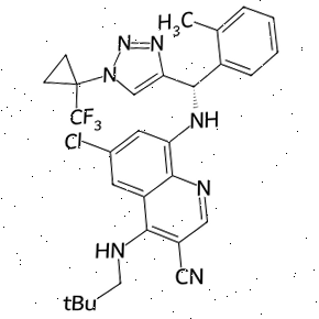 Cc1ccccc1[C@H](Nc1cc(Cl)cc2c(NCC(C)(C)C)c(C#N)cnc12)c1cn(C2(C(F)(F)F)CC2)nn1